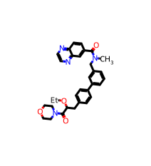 CCOC(Cc1ccc(-c2cccc(CN(C)C(=O)c3ccc4nccnc4c3)c2)cc1)C(=O)N1CCOCC1